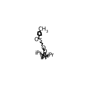 Cc1ccc(C(=O)SCCCOCOP(N(C(C)C)C(C)C)N(C(C)C)C(C)C)cc1